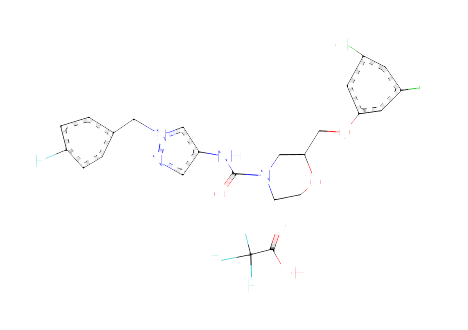 O=C(Nc1cnn(Cc2ccc(F)cc2)c1)N1CCOC(COc2cc(Cl)cc(Cl)c2)C1.O=C(O)C(F)(F)F